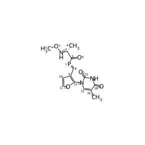 CON[C@H](C)C(=O)P=Cc1ccoc1-n1cc(C)c(=O)[nH]c1=O